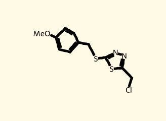 COc1ccc(CSc2nnc(CCl)s2)cc1